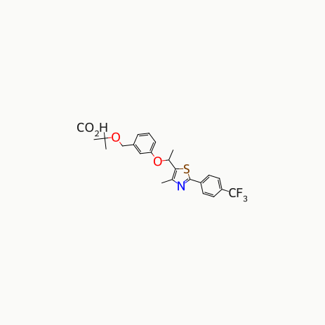 Cc1nc(-c2ccc(C(F)(F)F)cc2)sc1C(C)Oc1cccc(COC(C)(C)C(=O)O)c1